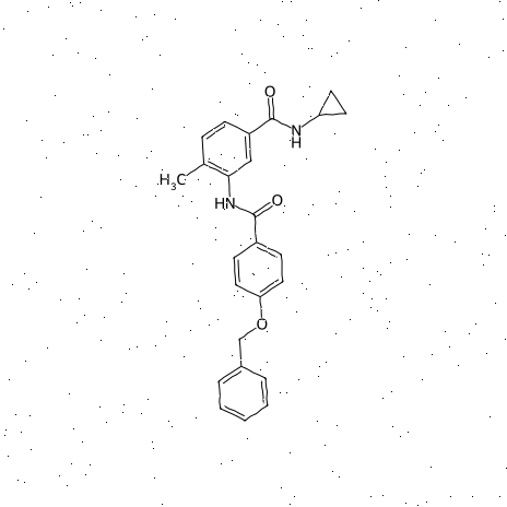 Cc1ccc(C(=O)NC2CC2)cc1NC(=O)c1ccc(OCc2ccccc2)cc1